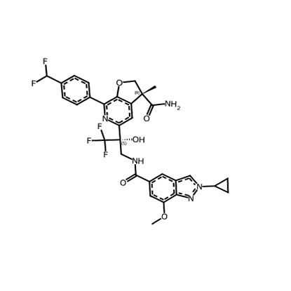 COc1cc(C(=O)NC[C@](O)(c2cc3c(c(-c4ccc(C(F)F)cc4)n2)OC[C@]3(C)C(N)=O)C(F)(F)F)cc2cn(C3CC3)nc12